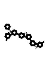 Cc1ccc2oc3ccc(-c4ccc5oc6cc(-c7ccc8c(c7)c7cc(C)ccc7n8-c7ccccc7)ccc6c5c4)cc3c2c1